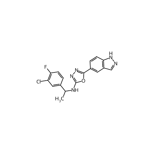 CC(Nc1nnc(-c2ccc3[nH]ncc3c2)o1)c1ccc(F)c(Cl)c1